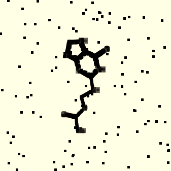 CC(C)(C)C(=O)OCNc1nc2nc[nH]c2c(=O)[nH]1